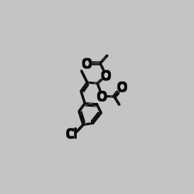 CC(=O)OC(OC(C)=O)C(C)=Cc1cccc(Cl)c1